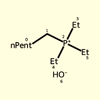 CCCCCC[P+](CC)(CC)CC.[OH-]